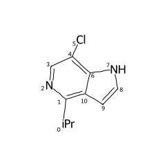 CC(C)c1ncc(Cl)c2[nH]ccc12